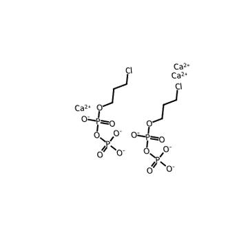 O=P([O-])([O-])OP(=O)([O-])OCCCCl.O=P([O-])([O-])OP(=O)([O-])OCCCCl.[Ca+2].[Ca+2].[Ca+2]